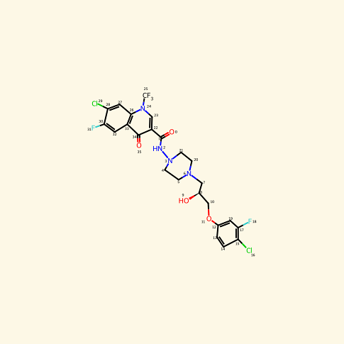 O=C(NN1CCN(C[C@H](O)COc2ccc(Cl)c(F)c2)CC1)c1cn(C(F)(F)F)c2cc(Cl)c(F)cc2c1=O